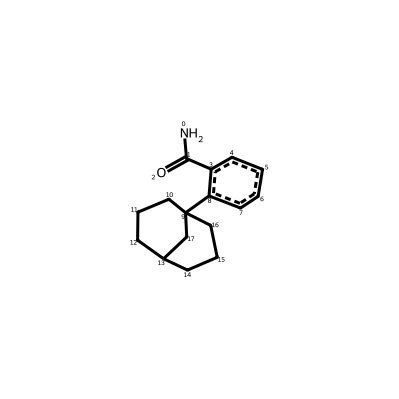 NC(=O)c1ccccc1C12CCCC(CCC1)C2